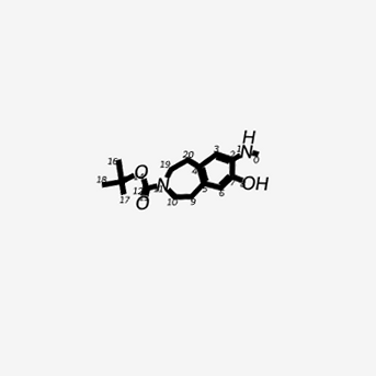 CNc1cc2c(cc1O)CCN(C(=O)OC(C)(C)C)CC2